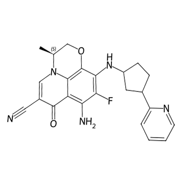 C[C@H]1COc2c(NC3CCC(c4ccccn4)C3)c(F)c(N)c3c(=O)c(C#N)cn1c23